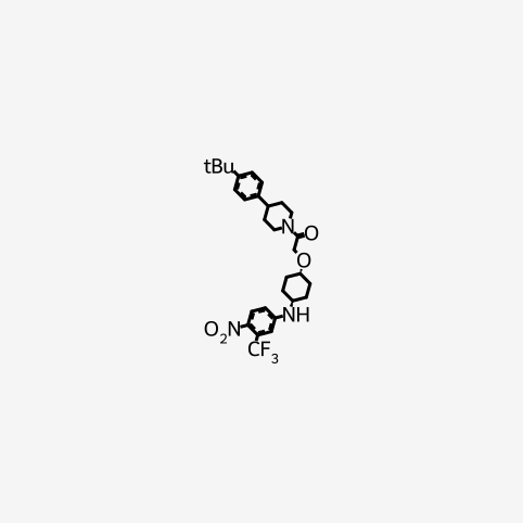 CC(C)(C)c1ccc(C2CCN(C(=O)CO[C@H]3CC[C@H](Nc4ccc([N+](=O)[O-])c(C(F)(F)F)c4)CC3)CC2)cc1